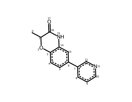 CC1Oc2ccc(-c3cccnc3)cc2NC1=O